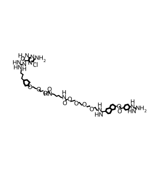 N=C(N)Nc1ccc(C(=O)Oc2ccc3cc(C(=N)NCCOCCOCCOCCOC(=O)NCCCCNC(=O)OCCOCCOc4ccc(CCCCNC(=N)NC(=O)c5nc(Cl)c(N)nc5N)cc4)ccc3c2)cc1